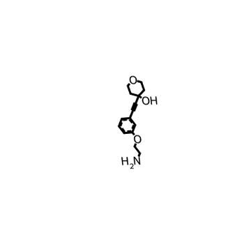 NCCOc1cccc(C#CC2(O)CCOCC2)c1